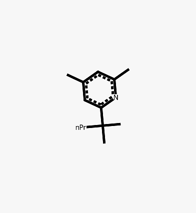 CCCC(C)(C)c1cc(C)cc(C)n1